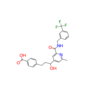 Cc1cc(C(O)CCc2ccc(C(=O)O)cc2)cc(C(=O)NCc2cccc(C(F)(F)F)c2)n1